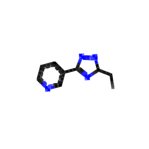 CCC1N=NC(c2cccnc2)=N1